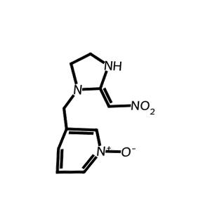 O=[N+]([O-])C=C1NCCN1Cc1ccc[n+]([O-])c1